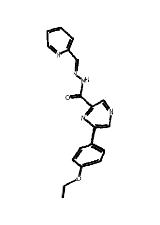 CCOc1ccc(-c2cncc(C(=O)N/N=C/c3ccccn3)n2)cc1